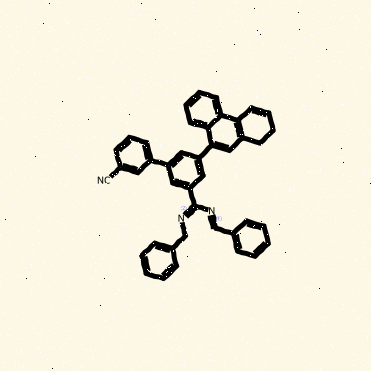 N#Cc1cccc(-c2cc(C(=N/Cc3ccccc3)/N=C/c3ccccc3)cc(-c3cc4c(c5ccccc35)C=CCC4)c2)c1